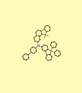 CC1(C)c2ccccc2-c2ccc3ccc(N(c4ccc(-c5ccccc5)cc4)c4ccc5c(c4)-c4ccccc4C5(c4ccccc4)c4ccccc4)cc3c21